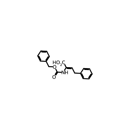 O=C(NC(=CCc1ccccc1)C(=O)O)OCc1ccccc1